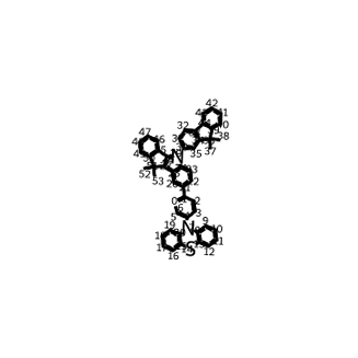 C=C(/C=C\C(=C/C)N1c2ccccc2Sc2ccccc21)c1ccc2c(c1)c1c(n2-c2ccc3c(c2)C(C)(C)c2ccccc2-3)-c2ccccc2C1(C)C